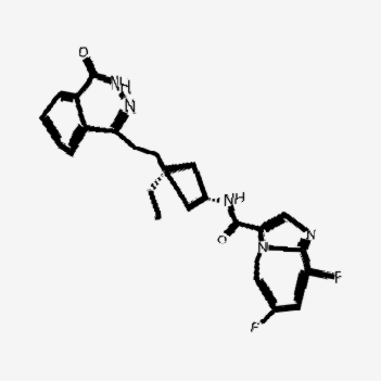 CC[C@]1(CCc2n[nH]c(=O)c3ccccc23)C[C@H](NC(=O)c2cnc3c(F)cc(F)cn23)C1